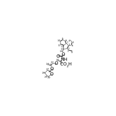 C=CC1=C(/C=C\C)c2ccccc2C1COC(=O)N[C@@H](COCC(C)OC1CCCCO1)C(=O)O